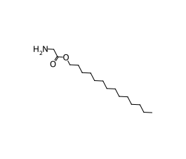 CCCCCCCCCCCCCCOC(=O)CN